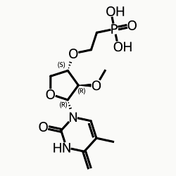 C=C1NC(=O)N([C@@H]2OC[C@H](OCCP(=O)(O)O)[C@H]2OC)C=C1C